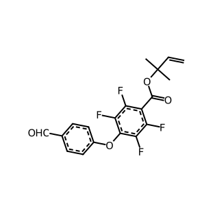 C=CC(C)(C)OC(=O)c1c(F)c(F)c(Oc2ccc(C=O)cc2)c(F)c1F